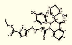 CCOC(=O)c1ccc(CONC(=O)[C@@H]2c3ccccc3C(=O)N([C@H]3CCCC[C@@H]3O)[C@H]2c2ccc(Cl)cc2Cl)o1